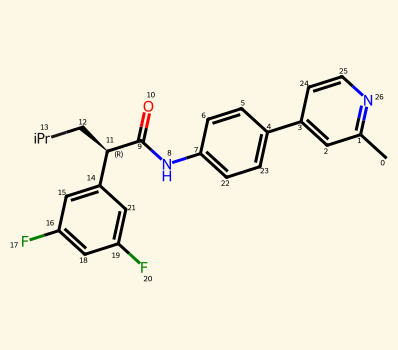 Cc1cc(-c2ccc(NC(=O)[C@H](CC(C)C)c3cc(F)cc(F)c3)cc2)ccn1